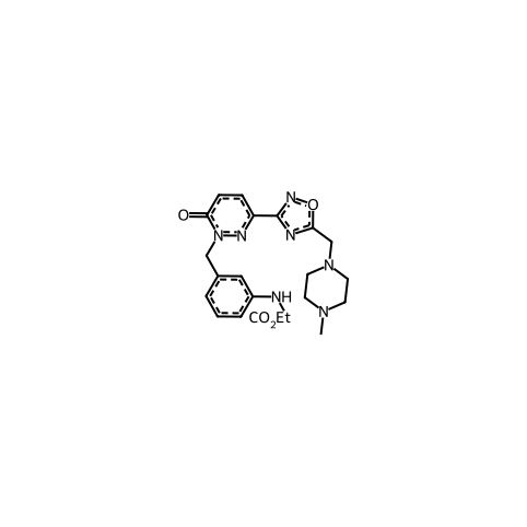 CCOC(=O)Nc1cccc(Cn2nc(-c3noc(CN4CCN(C)CC4)n3)ccc2=O)c1